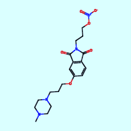 CN1CCN(CCCOc2ccc3c(c2)C(=O)N(CCCO[N+](=O)[O-])C3=O)CC1